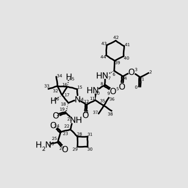 C=C(C)OC(=O)[C@H](NC(=O)N[C@H](C(=O)N1C[C@H]2[C@@H]([C@H]1C(=O)NC(C(=O)C(N)=O)C1CCC1)C2(C)C)C(C)(C)C)C1CCCCC1